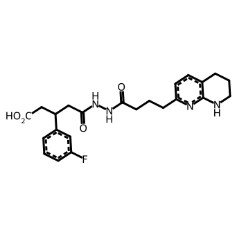 O=C(O)CC(CC(=O)NNC(=O)CCCc1ccc2c(n1)NCCC2)c1cccc(F)c1